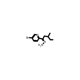 CCC(C)C/C(=N/N)c1ccc(Br)cn1